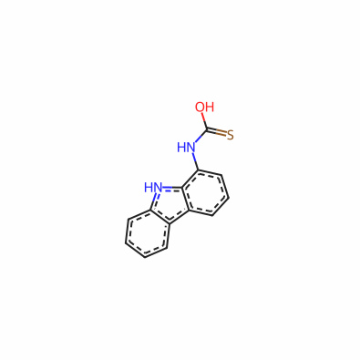 OC(=S)Nc1cccc2c1[nH]c1ccccc12